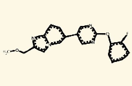 COCc1cn2cc(-c3cnc(Oc4ccccc4F)nc3)ccc2n1